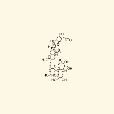 C=C1C[C@@]23CC[C@H]4[C@@](C)(CCC[C@@]4(C)C(=O)O[C@@H]4O[C@H](COC=O)[C@@H](O)C[C@H]4O)[C@@H]2CC[C@]1(CCO[C@@H]1O[C@H](CO)[C@@H](O)C(O[C@@H]2O[C@H](CO)[C@@H](O)C[C@H]2O)[C@H]1OC1C[C@@H](O)[C@H](O)[C@@H](CO)CCO1)C3